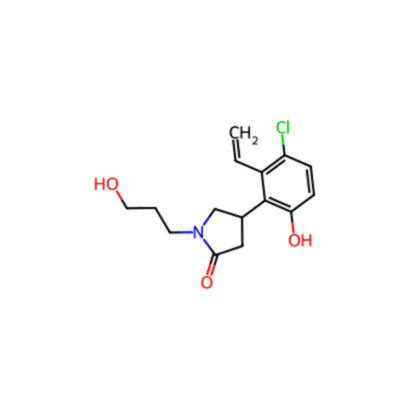 C=Cc1c(Cl)ccc(O)c1C1CC(=O)N(CCCO)C1